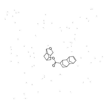 O=C(OC1C2CC3COC1C3C2)C1CC2CC1C1C3C=CC(C3)C21